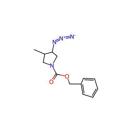 CC1CN(C(=O)OCc2ccccc2)CC1N=[N+]=[N-]